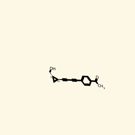 CC(=O)c1ccc(C#CC#C[C@H]2C[C@@H]2CO)cc1